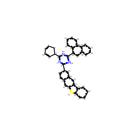 C1=CCC(c2nc(-c3ccc4cc5sc6ccccc6c5cc4c3)nc(-c3cc4ccccc4c4ccccc34)n2)C=C1